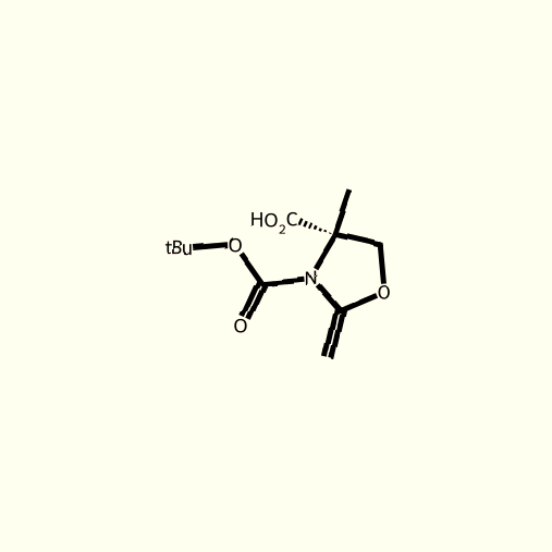 C=C1OC[C@@](C)(C(=O)O)N1C(=O)OC(C)(C)C